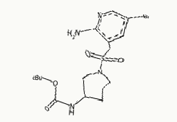 CC(C)(C)OC(=O)NC1CCN(S(=O)(=O)c2cc(Br)cnc2N)C1